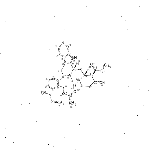 C=CCN.COC(=O)[C@@H]1[C@H]2C[C@H]3c4[nH]c5ccccc5c4CCN3C[C@@H]2CC[C@@H]1O.NC(=O)OCc1ccccc1